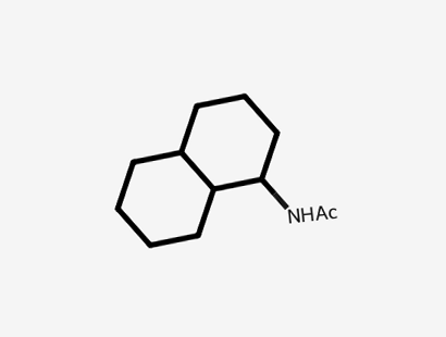 CC(=O)NC1CCCC2CCCCC21